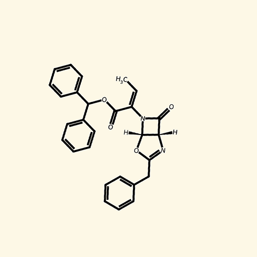 CC=C(C(=O)OC(c1ccccc1)c1ccccc1)N1C(=O)[C@@H]2N=C(Cc3ccccc3)O[C@@H]21